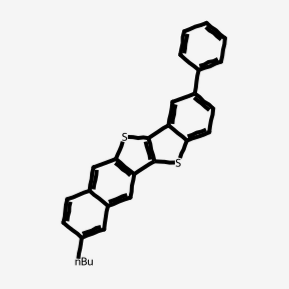 CCCCc1ccc2cc3sc4c5cc(-c6ccccc6)ccc5sc4c3cc2c1